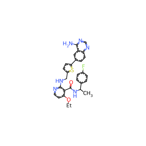 CCOc1ccnc(NCc2ccc(-c3ccc4ncnc(N)c4c3)s2)c1C(=O)NC(C)c1ccc(F)cc1